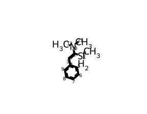 C[SiH2]C(=Cc1ccccc1)N(C)C